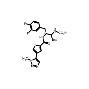 Cn1nncc1-c1csc(C(=O)N[C@@H](Cc2ccc(F)c(F)c2)C(NC(=O)O)C(C)(C)C)c1